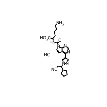 Cl.N#CCC(C1CCCC1)n1cc(-c2ncnc3c2ccn3C(=O)NC(CCCCN)C(=O)O)cn1